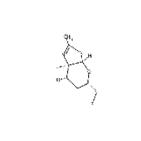 CC1=N[C@H]2[C@H](O[C@H](CF)C[C@@H]2O)S1